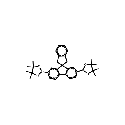 CC1(C)OB(c2ccc3c(c2)C2(Cc4ccccc4C2)c2cc(B4OC(C)(C)C(C)(C)O4)ccc2-3)OC1(C)C